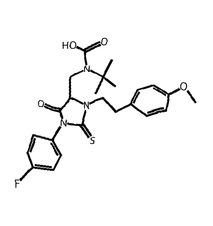 COc1ccc(CCN2C(=S)N(c3ccc(F)cc3)C(=O)C2CN(C(=O)O)C(C)(C)C)cc1